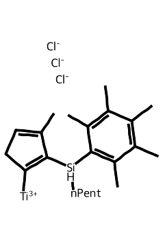 CCCCC[SiH](C1=[C]([Ti+3])CC=C1C)c1c(C)c(C)c(C)c(C)c1C.[Cl-].[Cl-].[Cl-]